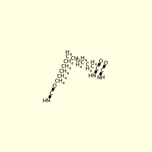 C.C.C.C.C.C.C.C.C.C.C.N=C=O.N=C=O.N=C=O